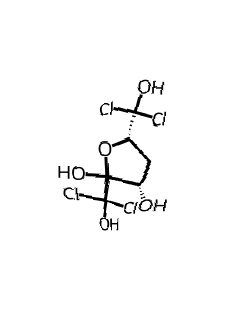 O[C@H]1C[C@@H](C(O)(Cl)Cl)OC1(O)C(O)(Cl)Cl